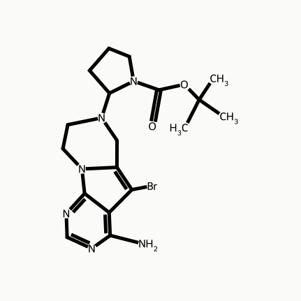 CC(C)(C)OC(=O)N1CCCC1N1CCn2c(c(Br)c3c(N)ncnc32)C1